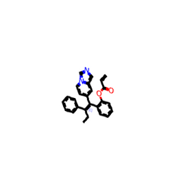 C=CC(=O)Oc1ccccc1/C(=C(\CC)c1ccccc1)c1ccn2cncc2c1